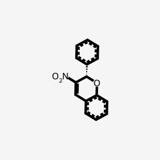 O=[N+]([O-])C1=Cc2ccccc2O[C@H]1c1ccccc1